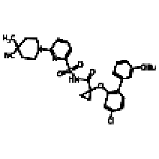 CC(C)COc1cccc(-c2ccc(Cl)cc2OC2(C(=O)NS(=O)(=O)c3cccc(N4CCC(C)(C#N)CC4)n3)CC2)c1